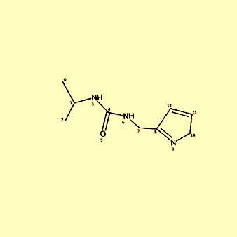 CC(C)NC(=O)NCC1=NCC=C1